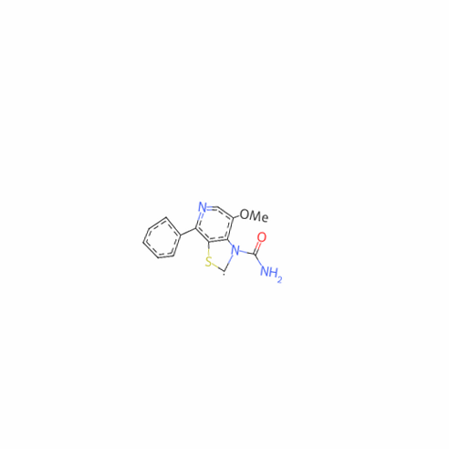 COc1cnc(-c2ccccc2)c2c1N(C(N)=O)[CH]S2